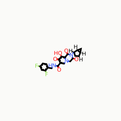 O=C(NCc1ccc(F)cc1F)c1cn2c(c(O)c1=O)C(=O)N1C(C2)O[C@@H]2C[C@H]1[C@H]1C[C@H]12